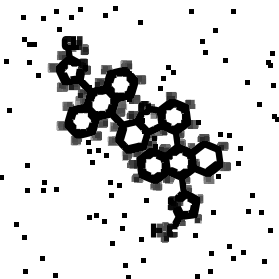 Cc1ccc(-c2c3c(c(-c4cccc5c4C4C=CC=C(c6c7ccccc7c(-c7ccc(C)s7)c7ccccc67)C4O5)c4ccccc24)CCC=C3)s1